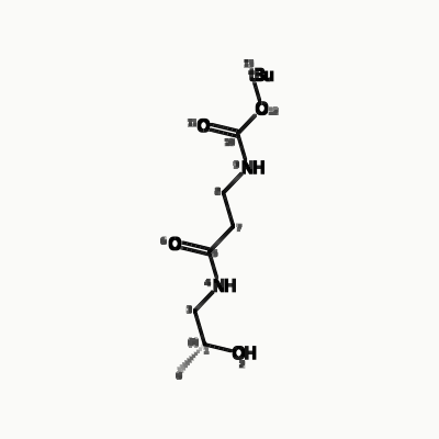 C[C@@H](O)CNC(=O)CCNC(=O)OC(C)(C)C